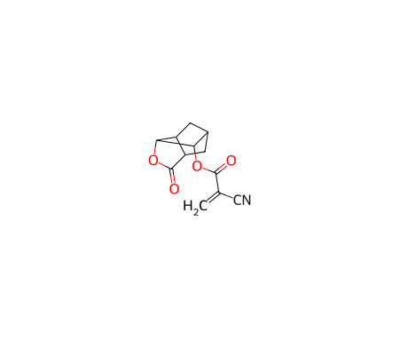 C=C(C#N)C(=O)OC1C2CC3C(=O)OC1C3C2